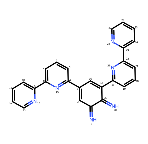 N=C1C=C(c2cccc(-c3ccccn3)n2)C=C(c2cccc(-c3ccccn3)n2)C1=N